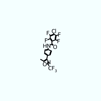 Cc1oc(C(F)(F)F)nc1-c1ccc(NC(=O)c2c(F)c(F)c(Cl)c(F)c2F)cc1